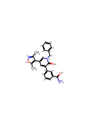 Cc1noc(C)c1-c1cc(-c2cccc(C(N)=O)c2)c(=O)n(Cc2ccccc2)c1